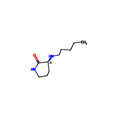 CCCCCN[C@H]1CCCNC1=O